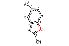 CC(=O)c1ccc2oc(C#N)cc2c1